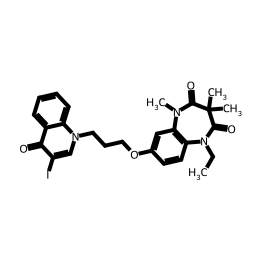 CCN1C(=O)C(C)(C)C(=O)N(C)c2cc(OCCCn3cc(I)c(=O)c4ccccc43)ccc21